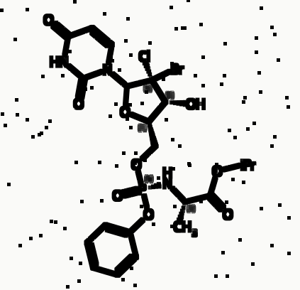 CC(C)OC(=O)[C@H](C)N[P@](=O)(OC[C@H]1OC(n2ccc(=O)[nH]c2=O)[C@@](Cl)(Br)[C@@H]1O)Oc1ccccc1